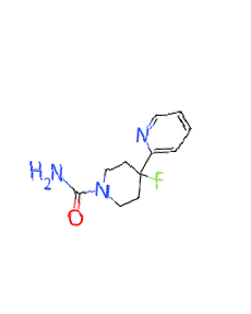 NC(=O)N1CCC(F)(c2ccccn2)CC1